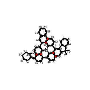 CC1(C)c2ccccc2-c2c(-c3ccccc3N(c3ccccc3-c3ccc4ccccc4c3)c3ccccc3-c3ccc4c5c(oc4c3)CCC=C5)cccc21